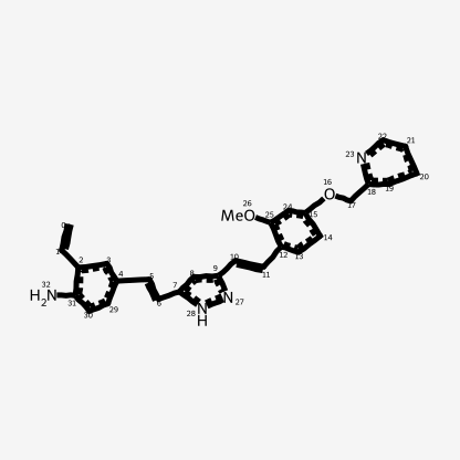 C=Cc1cc(/C=C/c2cc(/C=C/c3ccc(OCc4ccccn4)cc3OC)n[nH]2)ccc1N